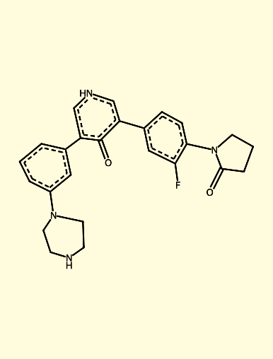 O=C1CCCN1c1ccc(-c2c[nH]cc(-c3cccc(N4CCNCC4)c3)c2=O)cc1F